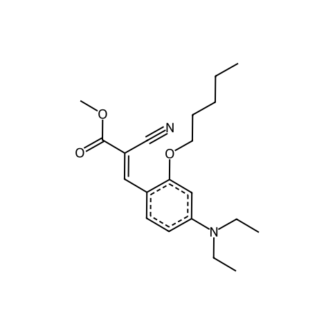 CCCCCOc1cc(N(CC)CC)ccc1C=C(C#N)C(=O)OC